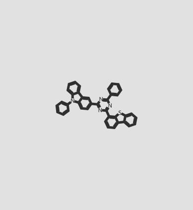 c1ccc(-c2nc(-c3ccc4c(c3)c3ccccc3n4-c3ccccc3)nc(-c3cccc4c3sc3ccccc34)n2)cc1